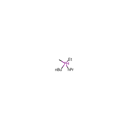 CCCC[PH](C)(CC)CCC